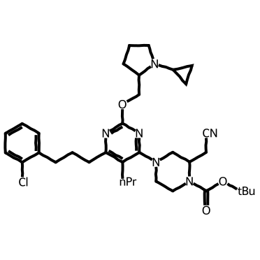 CCCc1c(CCCc2ccccc2Cl)nc(OCC2CCCN2C2CC2)nc1N1CCN(C(=O)OC(C)(C)C)C(CC#N)C1